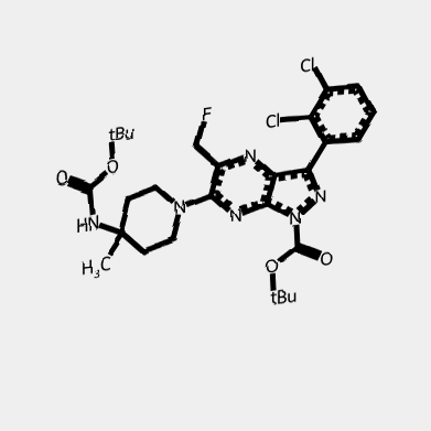 CC1(NC(=O)OC(C)(C)C)CCN(c2nc3c(nc2CF)c(-c2cccc(Cl)c2Cl)nn3C(=O)OC(C)(C)C)CC1